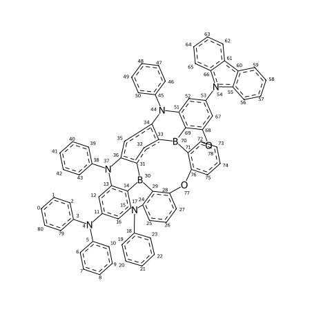 c1ccc(N(c2ccccc2)c2cc3c4c(c2)N(c2ccccc2)c2cccc5c2B4c2cc4c(cc2N3c2ccccc2)N(c2ccccc2)c2cc(-n3c6ccccc6c6ccccc63)cc3c2B4c2c(cccc2O5)O3)cc1